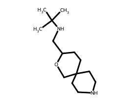 CC(C)(C)NCC1CCC2(CCNCC2)CO1